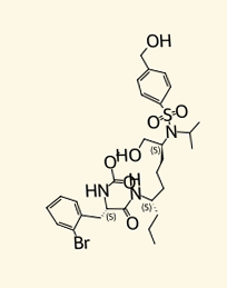 CCC[C@@H](CCC[C@@H](CO)N(C(C)C)S(=O)(=O)c1ccc(CO)cc1)NC(=O)[C@H](Cc1ccccc1Br)NC(=O)OC